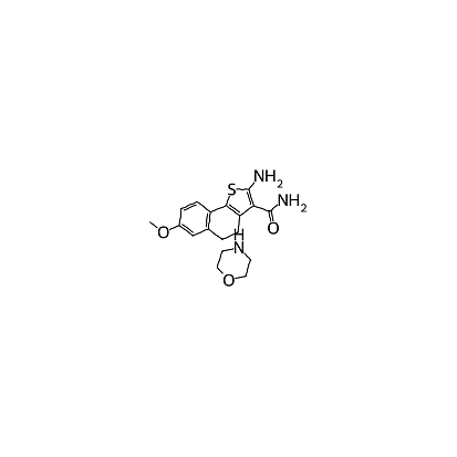 C1COCCN1.COc1ccc2c(c1)CCc1c-2sc(N)c1C(N)=O